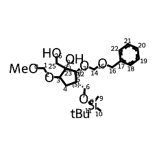 COCOC1C[C@@H](CO[Si](C)(C)C(C)(C)C)[C@H](OCOCc2ccccc2)[C@]1(O)CO